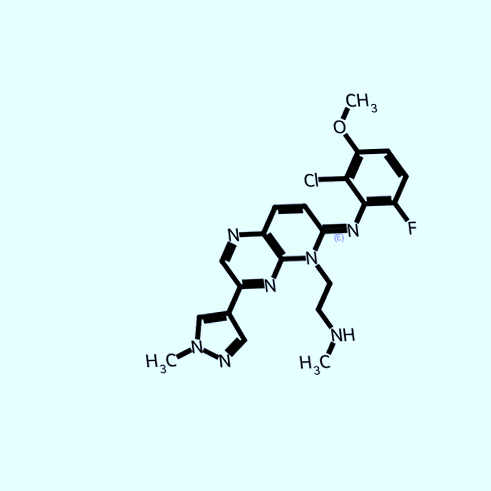 CNCCn1/c(=N/c2c(F)ccc(OC)c2Cl)ccc2ncc(-c3cnn(C)c3)nc21